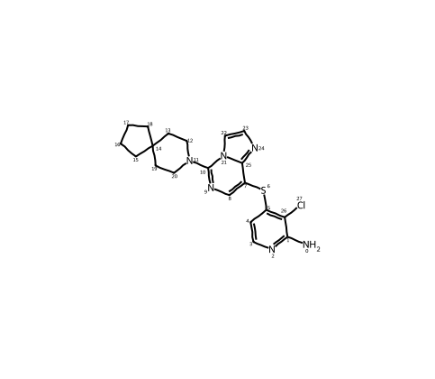 Nc1nccc(Sc2cnc(N3CCC4(CCCC4)CC3)n3ccnc23)c1Cl